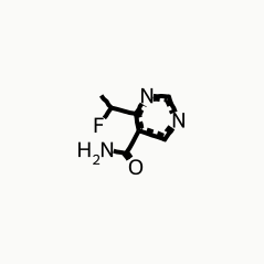 CC(F)c1ncncc1C(N)=O